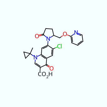 CC1(n2cc(C(=O)O)c(=O)c3cc(Cl)c(N4C(=O)CCC4COc4ccccn4)cc32)CC1